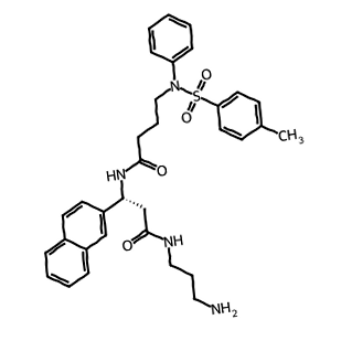 Cc1ccc(S(=O)(=O)N(CCCC(=O)N[C@H](CC(=O)NCCCN)c2ccc3ccccc3c2)c2ccccc2)cc1